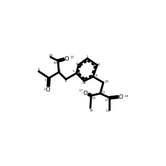 CC(=O)C(Cc1cccc(CC(C(C)=O)C(C)=O)c1)C(C)=O